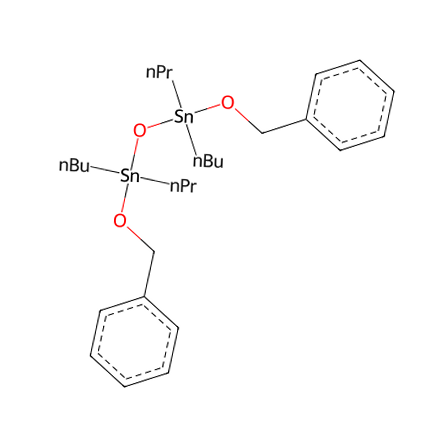 CCC[CH2][Sn]([CH2]CC)([O]Cc1ccccc1)[O][Sn]([CH2]CC)([CH2]CCC)[O]Cc1ccccc1